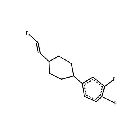 FC=CC1CCC(c2ccc(F)c(F)c2)CC1